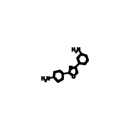 Nc1ccc(-c2nc(-c3cccc(N)c3)co2)cc1